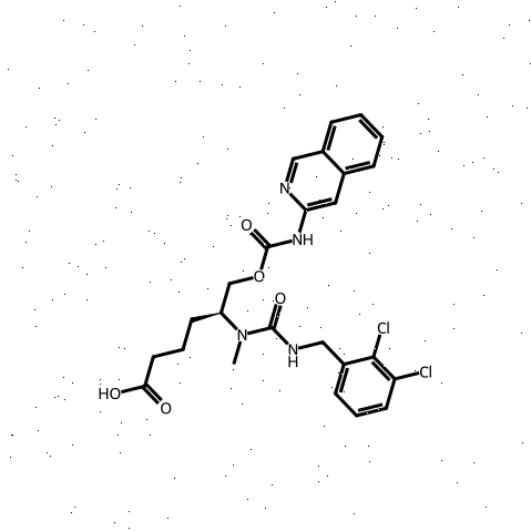 CN(C(=O)NCc1cccc(Cl)c1Cl)[C@@H](CCCC(=O)O)COC(=O)Nc1cc2ccccc2cn1